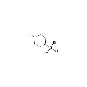 CC[Si](CC)(CC)C1CCC(F)CC1